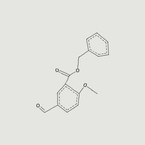 COc1ccc(C=O)cc1C(=O)OCc1ccccc1